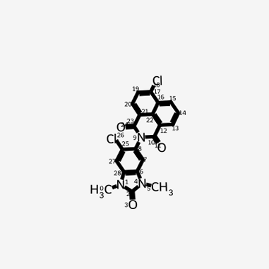 Cn1c(=O)n(C)c2cc(N3C(=O)c4cccc5c(Cl)ccc(c45)C3=O)c(Cl)cc21